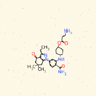 CCc1nn(-c2ccc(C(N)=O)c(N[C@H]3CC[C@H](OC(=O)CCN)CC3)c2)c2c1C(=O)CC(C)(C)C2